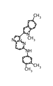 Cc1ccc2c(c1)cc(-c1cnc3ccc(Nc4ccc(C)c(C)c4)nn13)n2C